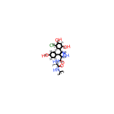 CC(C)NC(=O)[C@@H](C)NC(=O)c1[nH]nc(-c2cc(Cl)c(O)cc2O)c1-c1ccc(O)cc1